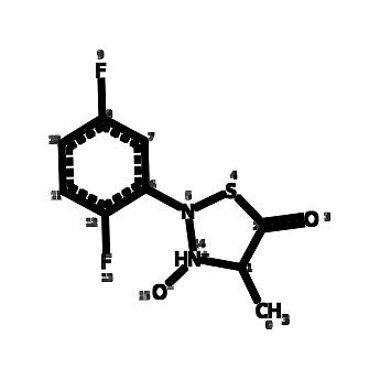 CC1C(=O)SN(c2cc(F)ccc2F)[NH+]1[O-]